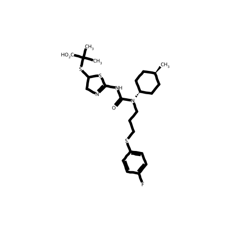 CC(C)(SC1CN=C(NC(=O)N(CCCSc2ccc(F)cc2)[C@H]2CC[C@H](C)CC2)S1)C(=O)O